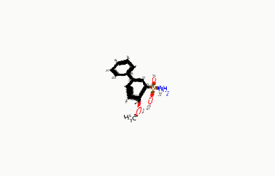 COc1ccc(-c2ccccc2)cc1S(N)(=O)=O